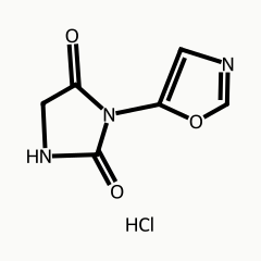 Cl.O=C1CNC(=O)N1c1cnco1